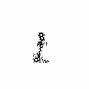 CSc1ccccc1C(=O)NCCCCCc1ncc(-c2ccc3ccccc3c2)[nH]1